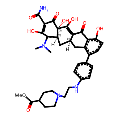 COC(=O)C1CCN(CCNc2ccc(-c3ccc(O)c4c3C[C@H]3C[C@H]5C(N(C)C)C(O)=C(C(N)=O)C(=O)[C@@]5(O)C(O)=C3C4=O)cc2)CC1